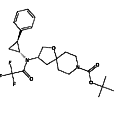 CC(C)(C)OC(=O)N1CCC2(CC1)CC(N(C(=O)C(F)(F)F)[C@@H]1C[C@H]1c1ccccc1)CO2